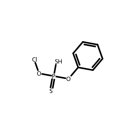 S=P(S)(OCl)Oc1ccccc1